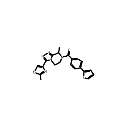 Cc1nc(-c2nnc3n2CCN(C(=O)c2ccc(-c4cccs4)cc2)C3C)co1